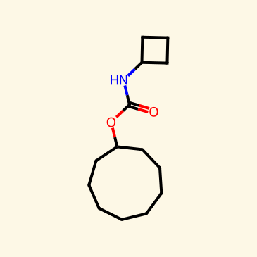 O=C(NC1CCC1)OC1CCCCCCCC1